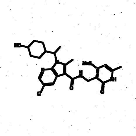 CSc1cc(C)[nH]c(=O)c1CNC(=O)c1c(C)n(C(C)C2CCC(O)CC2)c2ncc(Cl)cc12